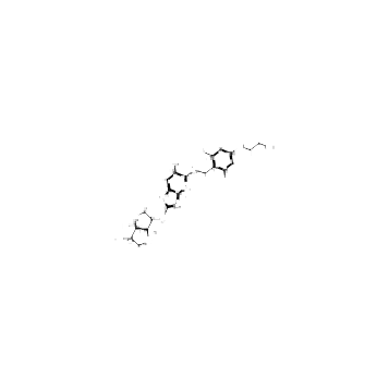 OCCOc1cc(F)c(CNc2nc3nc(O[C@@H]4CO[C@H]5[C@@H]4OC[C@H]5O)[nH]c3cc2Cl)c(F)c1